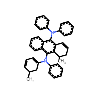 CC1C=CC=C(N(c2ccccc2)c2c3c(c(N(c4ccccc4)c4ccccc4)c4ccccc24)C=CCC3C)C1